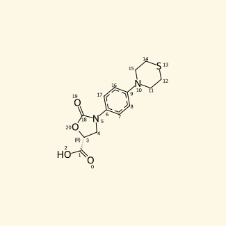 O=C(O)[C@H]1CN(c2ccc(N3CCSCC3)cc2)C(=O)O1